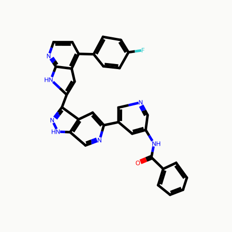 O=C(Nc1cncc(-c2cc3c(-c4cc5c(-c6ccc(F)cc6)ccnc5[nH]4)n[nH]c3cn2)c1)c1ccccc1